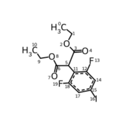 CCOC(=O)C(C(=O)OCC)c1c(F)cc(I)cc1F